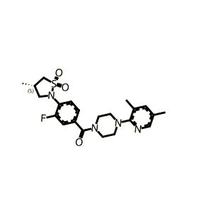 Cc1cnc(N2CCN(C(=O)c3ccc(N4C[C@H](C)CS4(=O)=O)c(F)c3)CC2)c(C)c1